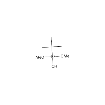 CO[B-](O)(OC)C(C)(C)C